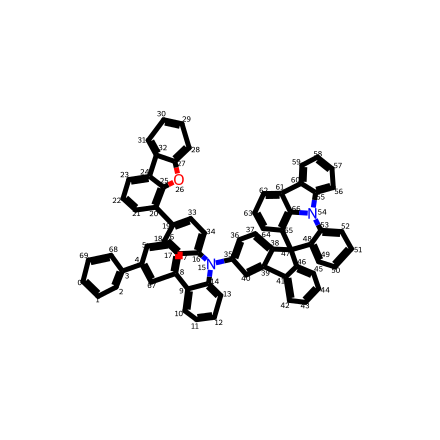 c1ccc(-c2cccc(-c3ccccc3N(c3ccc(-c4cccc5c4oc4ccccc45)cc3)c3ccc4c(c3)-c3ccccc3C43c4ccccc4-n4c5ccccc5c5cccc3c54)c2)cc1